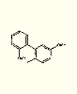 COc1ccc(C)c(-c2ccccc2OC)c1